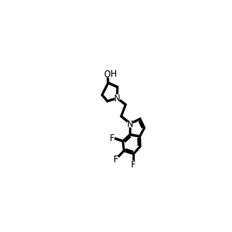 OC1CCN(CCn2ccc3cc(F)c(F)c(F)c32)C1